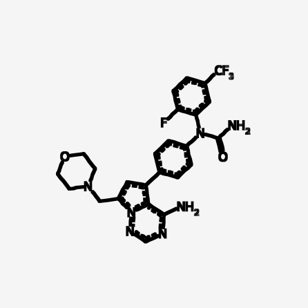 NC(=O)N(c1ccc(-c2cc(CN3CCOCC3)n3ncnc(N)c23)cc1)c1cc(C(F)(F)F)ccc1F